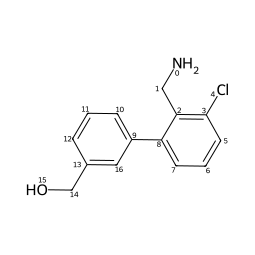 NCc1c(Cl)cccc1-c1cccc(CO)c1